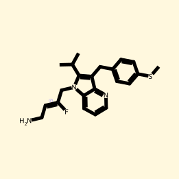 CSc1ccc(Cc2c(C(C)C)n(C/C(F)=C/CN)c3cccnc23)cc1